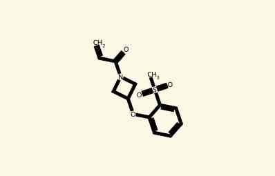 C=CC(=O)N1CC(Oc2ccccc2S(C)(=O)=O)C1